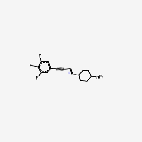 CCC[C@H]1CC[C@H](/C=C/C#Cc2cc(F)c(F)c(F)c2)CC1